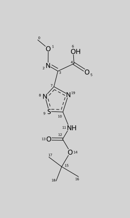 CON=C(C(=O)O)c1nsc(NC(=O)OC(C)(C)C)n1